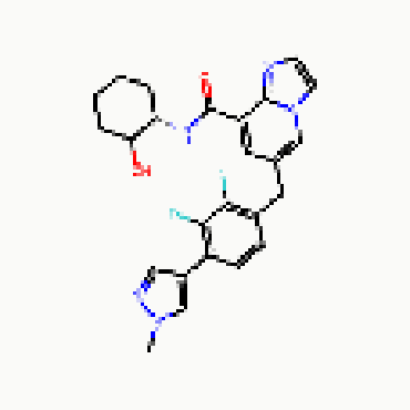 Cn1cc(-c2ccc(Cc3cc(C(=O)N[C@H]4CCCC[C@@H]4O)c4nccn4c3)c(F)c2F)cn1